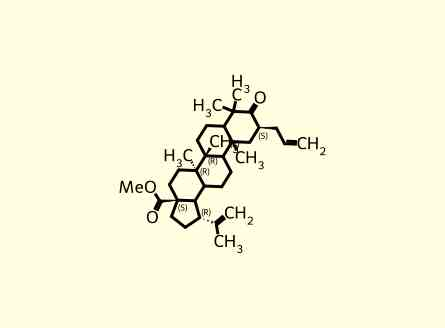 C=CC[C@H]1C[C@@]2(C)C(CC[C@]3(C)C2CCC2C4[C@H](C(=C)C)CC[C@]4(C(=O)OC)CC[C@]23C)C(C)(C)C1=O